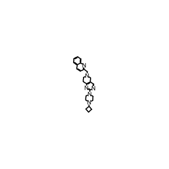 c1ccc2nc(CN3CCc4nc(N5CCN(C6CCC6)CC5)ncc4C3)ccc2c1